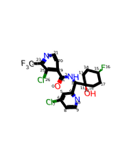 O=C(NC(c1cc(Cl)ccn1)[C@]1(O)CC[C@@H](F)CC1)c1ccnc(C(F)(F)F)c1Cl